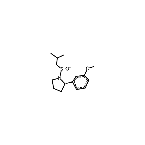 COc1cccc([C@H]2CCCN2[S+]([O-])CC(C)C)c1